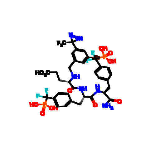 NC(=O)[C@H](Cc1ccc(C(F)(F)P(=O)(O)O)cc1)NC(=O)[C@H](Cc1ccc(C(F)(F)P(=O)(O)O)cc1)NC(=O)[C@H](CCC(=O)O)NCc1cc(Br)cc(C2(C(F)(F)F)N=N2)c1